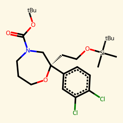 CC(C)(C)OC(=O)N1CCCO[C@](CCO[Si](C)(C)C(C)(C)C)(c2ccc(Cl)c(Cl)c2)C1